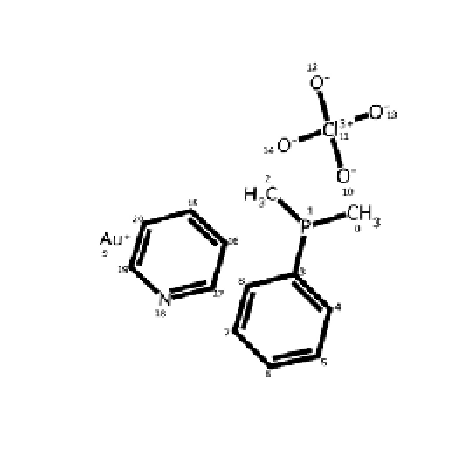 CP(C)c1ccccc1.[Au+].[O-][Cl+3]([O-])([O-])[O-].c1ccncc1